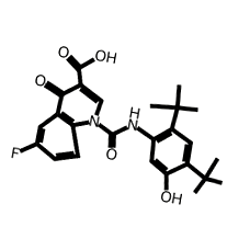 CC(C)(C)c1cc(C(C)(C)C)c(NC(=O)n2cc(C(=O)O)c(=O)c3cc(F)ccc32)cc1O